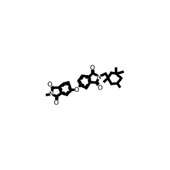 CC1CC(C)(C)CC(C)(CN2C(=O)c3ccc(Oc4ccc5c(c4)C(=O)N(C)C5=O)cc3C2=O)C1